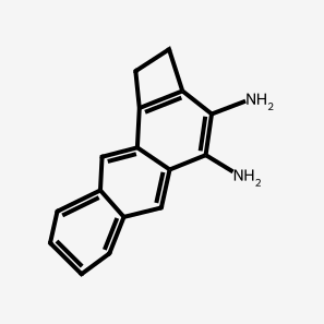 Nc1c2c(c3cc4ccccc4cc3c1N)CC2